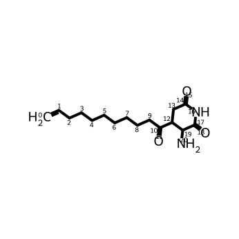 C=CCCCCCCCCC(=O)C1CC(=O)NC(=O)C1N